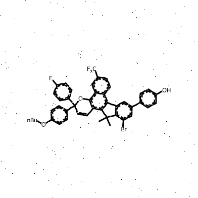 CCCCOc1ccc(C2(c3ccc(F)cc3)C=Cc3c4c(c5ccc(C(F)(F)F)cc5c3O2)-c2cc(-c3ccc(O)cc3)cc(Br)c2C4(C)C)cc1